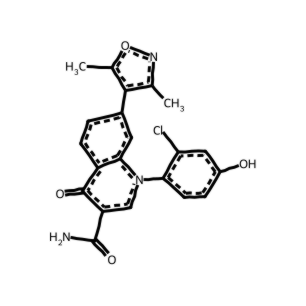 Cc1noc(C)c1-c1ccc2c(=O)c(C(N)=O)cn(-c3ccc(O)cc3Cl)c2c1